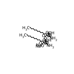 CCCCCCCCCCCCC(CC(N)=O)(C(=O)[O-])S(=O)(=O)O.CCCCCCCCCCCCC(CC(N)=O)(C(=O)[O-])S(=O)(=O)O.[Na+].[Na+]